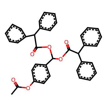 CC(=O)Oc1ccc(C(OC(=O)C(c2ccccc2)c2ccccc2)OC(=O)C(c2ccccc2)c2ccccc2)cc1